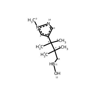 Cn1cc(C(C)(C)C(C)(C)CBO)cn1